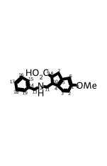 COc1ccc2c(c1)CC(C(=O)O)C2CNCc1ccccc1